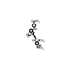 COc1cc(S(C)(=O)=O)ccc1NCC#Cc1cc2c(NC3CCN(C(N)=O)CC3)cccc2n1CC(F)(F)F